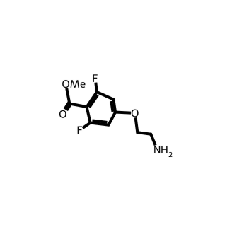 COC(=O)c1c(F)cc(OCCN)cc1F